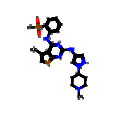 Cc1csc2nc(Nc3cnn(C4CCN(C)CC4)c3)nc(Nc3ccccc3S(=O)(=O)C(C)C)c12